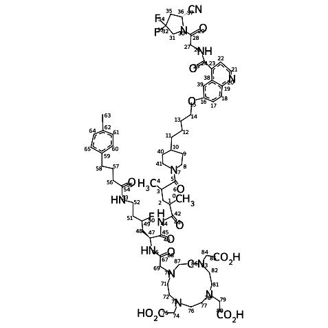 CC(CC(C)C(=O)N1CCC(CCCCOc2ccc3nccc(C(=O)NCC(=O)N4CC(F)(F)C[C@@H]4C#N)c3c2)CC1)C(=O)NC(=O)[C@H](CC(F)CCNC(=O)CCCc1ccc(I)cc1)NC(=O)CN1CCN(CC(=O)O)CCN(CC(=O)O)CCN(CC(=O)O)CC1